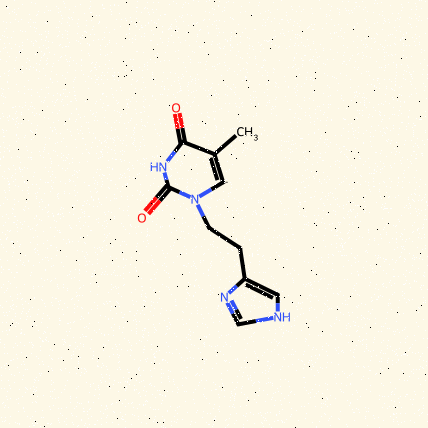 Cc1[c]n(CCc2c[nH]cn2)c(=O)[nH]c1=O